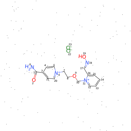 NC(=O)c1cc[n+](CCOC[n+]2ccccc2C=NO)cc1.[Cl-].[Cl-]